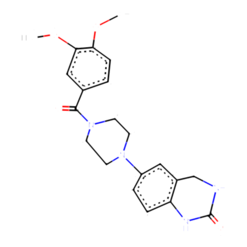 COc1ccc(C(=O)N2CCN(c3ccc4c(c3)CNC(=O)N4)CC2)cc1OC